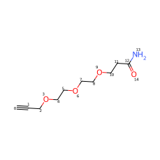 C#CCOCCOCCOCCC(N)=O